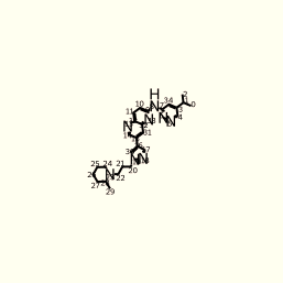 CC(C)c1cnnc(Nc2ccc3ncc(-c4cnn(CCCN5CCCCC5C)c4)cc3n2)c1